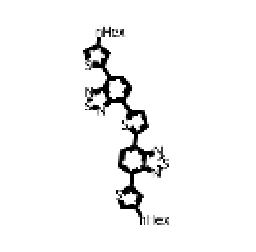 CCCCCCc1csc(-c2ccc(-c3ccc(-c4ccc(-c5cc(CCCCCC)cs5)c5nsnc45)s3)c3nsnc23)c1